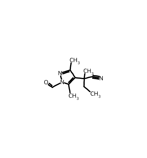 CCC(C)(C#N)c1c(C)nn(C=O)c1C